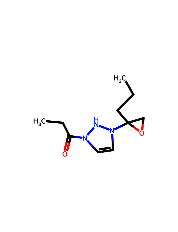 CCCC1(N2C=CN(C(=O)CC)N2)CO1